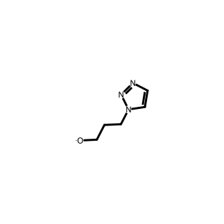 [O]CCCn1ccnn1